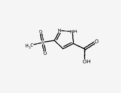 CS(=O)(=O)c1cc(C(=O)O)[nH]n1